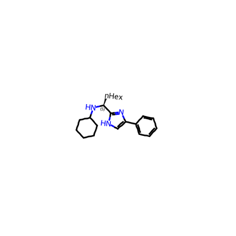 CCCCCC[C@H](NC1CCCCC1)c1nc(-c2ccccc2)c[nH]1